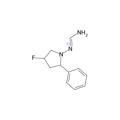 N/C=N/N1CC(F)CC1c1ccccc1